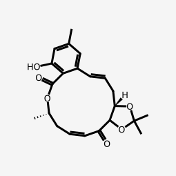 Cc1cc(O)c2c(c1)/C=C/C[C@@H]1OC(C)(C)OC1C(=O)/C=C\C[C@H](C)OC2=O